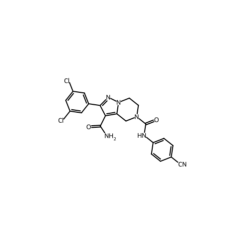 N#Cc1ccc(NC(=O)N2CCn3nc(-c4cc(Cl)cc(Cl)c4)c(C(N)=O)c3C2)cc1